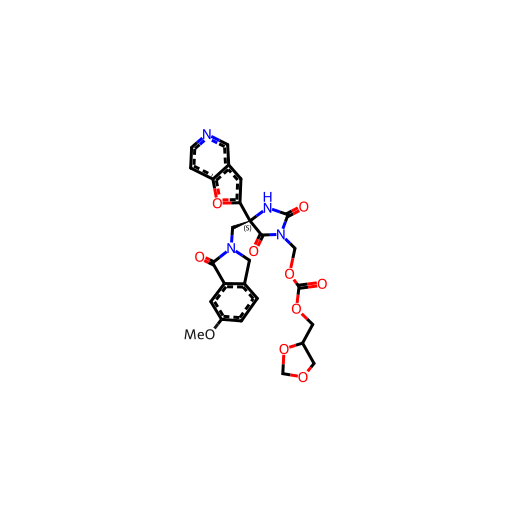 COc1ccc2c(c1)C(=O)N(C[C@@]1(c3cc4cnccc4o3)NC(=O)N(COC(=O)OCC3COCO3)C1=O)C2